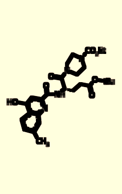 CCOC(=O)N1CCN(C(=O)[C@H](CCC(=O)OC(C)(C)C)NC(=O)c2cc(O)c3ccc(C)cc3n2)CC1